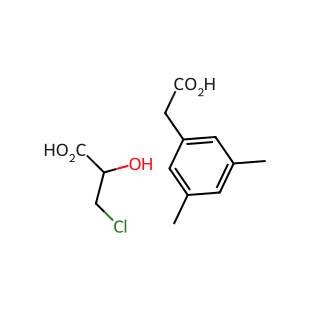 Cc1cc(C)cc(CC(=O)O)c1.O=C(O)C(O)CCl